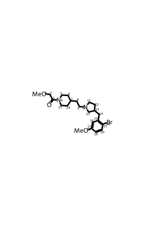 COCC(=O)N1CCC(CCN2CCC(Cc3cc(OC)ccc3Br)C2)CC1